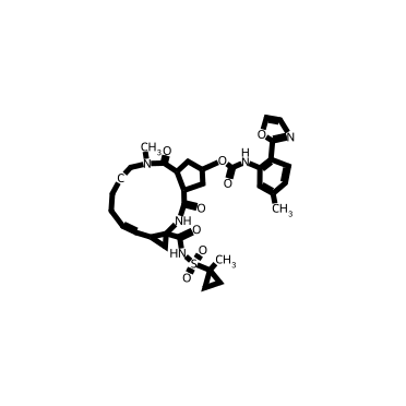 Cc1ccc(-c2ncco2)c(NC(=O)OC2CC3C(=O)NC4(C(=O)NS(=O)(=O)C5(C)CC5)CC4C=CCCCCN(C)C(=O)C3C2)c1